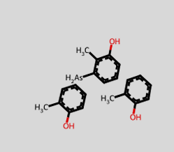 Cc1c(O)cccc1[AsH2].Cc1ccccc1O.Cc1ccccc1O